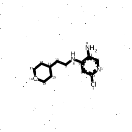 Nc1cnc(Cl)cc1NCCC1CCOCC1